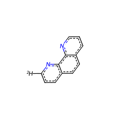 [2H]c1ccc2ccc3cccnc3c2n1